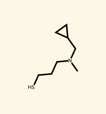 CN(CCCS)CC1CC1